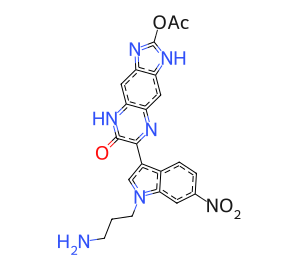 CC(=O)Oc1nc2cc3[nH]c(=O)c(-c4cn(CCCN)c5cc([N+](=O)[O-])ccc45)nc3cc2[nH]1